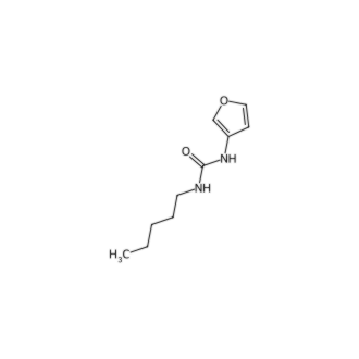 CCCCCNC(=O)Nc1ccoc1